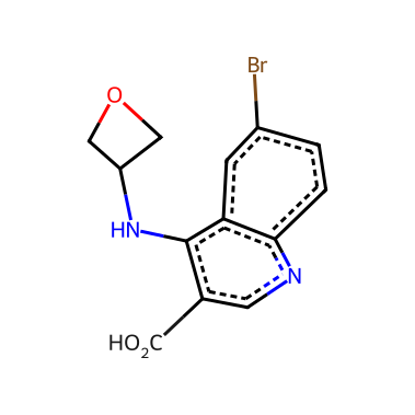 O=C(O)c1cnc2ccc(Br)cc2c1NC1COC1